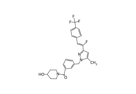 Cc1cc(/C(F)=C/c2ccc(C(F)(F)F)cc2)nn1Cc1cccc(C(=O)N2CCC(O)CC2)c1